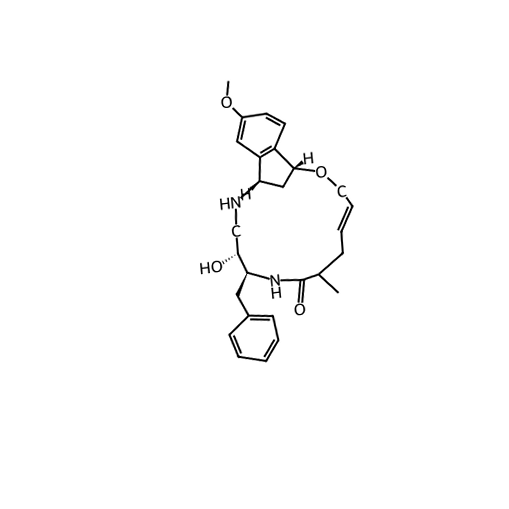 COc1ccc2c(c1)[C@@H]1C[C@H]2OC/C=C/CC(C)C(=O)N[C@@H](Cc2ccccc2)[C@H](O)CN1